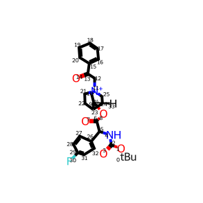 CC(C)(C)OC(=O)NC(C(=O)O[C@H]1C[N+]2(CC(=O)c3ccccc3)CCC1CC2)c1ccc(F)cc1